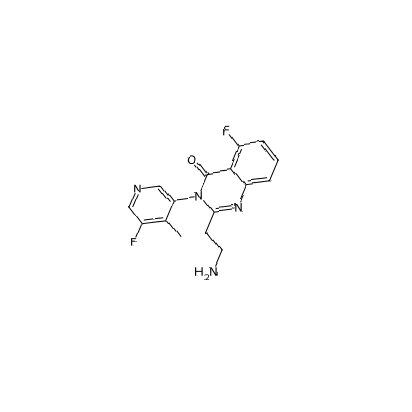 Cc1c(F)cncc1-n1c(CCN)nc2cccc(F)c2c1=O